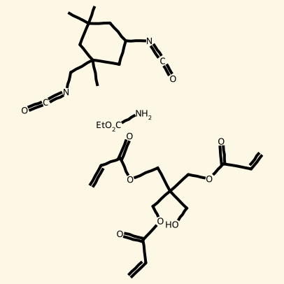 C=CC(=O)OCC(CO)(COC(=O)C=C)COC(=O)C=C.CC1(C)CC(N=C=O)CC(C)(CN=C=O)C1.CCOC(N)=O